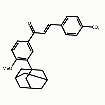 COc1ccc(C(=O)C=Cc2ccc(C(=O)O)cc2)cc1C12CC3CC(CC(C3)C1)C2